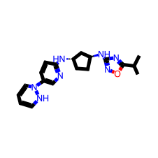 CC(C)c1nc(N[C@H]2CC[C@H](Nc3ccc(N4C=CC=CN4)cn3)C2)no1